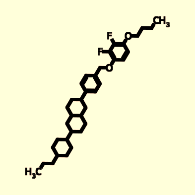 CCCCOc1ccc(OCc2ccc(C3CCC4CC(C5CCC(CCC)CC5)CCC4C3)cc2)c(F)c1F